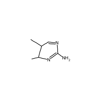 CC1C=NC(N)=NC1C